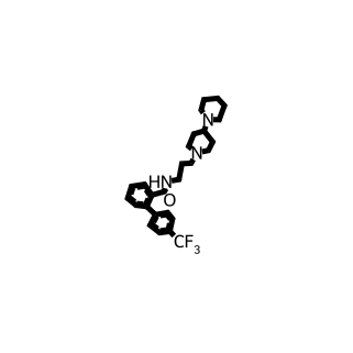 O=C(NCCCN1CCC(N2CCCCC2)CC1)c1ccccc1-c1ccc(C(F)(F)F)cc1